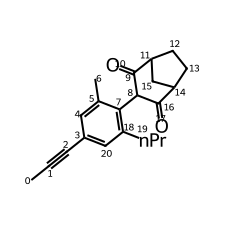 CC#Cc1cc(C)c(C2C(=O)C3CCC(C3)C2=O)c(CCC)c1